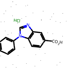 Cl.O=C(O)c1ccc2c(c1)ncn2-c1ccccc1